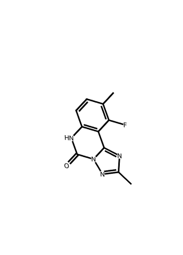 Cc1nc2c3c(F)c(C)ccc3[nH]c(=O)n2n1